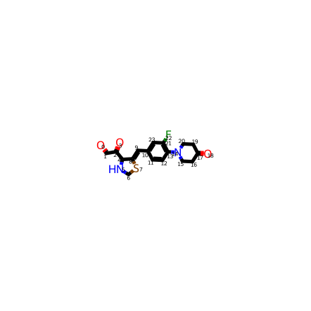 O=CC(=O)C1NCSC1=Cc1ccc(N2CCC(=O)CC2)c(F)c1